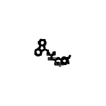 O=C(N[C@@H](Cc1ccnc(F)c1)C(=O)O)OCC1c2ccccc2-c2ccccc21